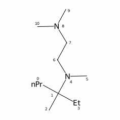 CCCC(C)(CC)N(C)CCN(C)C